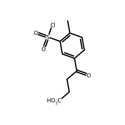 Cc1ccc(C(=O)CCC(=O)O)cc1S(=O)(=O)Cl